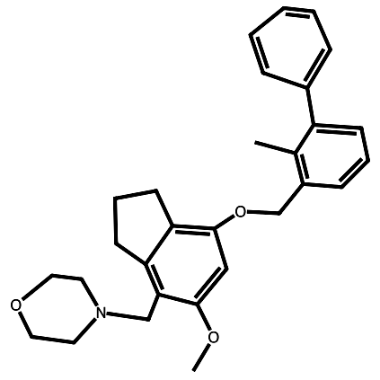 COc1cc(OCc2cccc(-c3ccccc3)c2C)c2c(c1CN1CCOCC1)CCC2